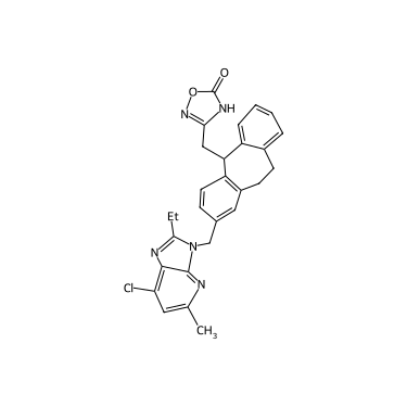 CCc1nc2c(Cl)cc(C)nc2n1Cc1ccc2c(c1)CCc1ccccc1C2Cc1noc(=O)[nH]1